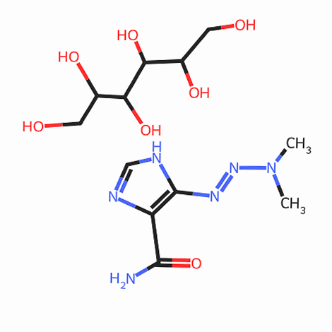 CN(C)/N=N/c1[nH]cnc1C(N)=O.OCC(O)C(O)C(O)C(O)CO